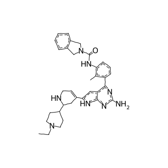 CCN1CCC(C2CC(c3cc4c(-c5cccc(NC(=O)N6Cc7ccccc7C6)c5C)nc(N)nc4[nH]3)=CCN2)CC1